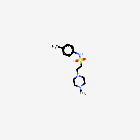 Cc1ccc(NS(=O)(=O)CCN2CCN(C)CC2)cc1